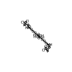 CCN1Cc2c(Cl)cc(Cl)cc2C(c2cccc(S(=O)(=O)NCCOCCOCCOCCNC(=O)C(O)C(O)C(=O)NCCOCCOCCOCCNS(=O)(=O)c3cccc(C4CN(C)Cc5c(Cl)cc(Cl)cc54)c3)c2)C1